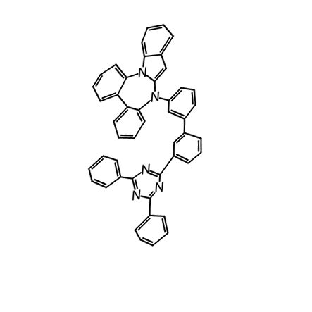 c1ccc(-c2nc(-c3ccccc3)nc(-c3cccc(-c4cccc(N5c6ccccc6-c6ccccc6-n6c5cc5ccccc56)c4)c3)n2)cc1